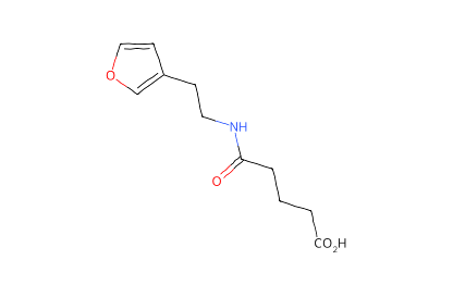 O=C(O)CCCC(=O)NCCc1ccoc1